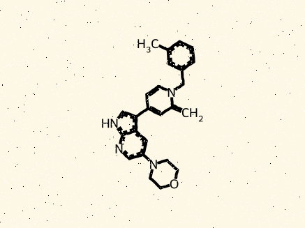 C=C1C=C(c2c[nH]c3ncc(N4CCOCC4)cc23)C=CN1Cc1cccc(C)c1